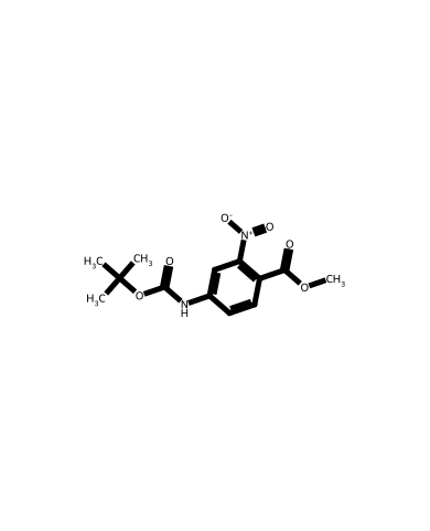 COC(=O)c1ccc(NC(=O)OC(C)(C)C)cc1[N+](=O)[O-]